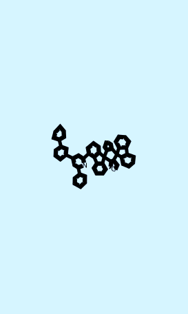 c1ccc(-c2cccc(-c3cc(-c4ccccc4)nc(-c4cccc5c4-c4ccccc4C54c5ccccc5C5(c6ccccc6-c6ccccc65)c5ccccc54)c3)c2)cc1